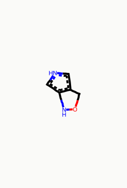 c1[nH]cc2c1CON2